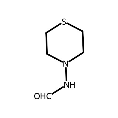 O=CNN1CCSCC1